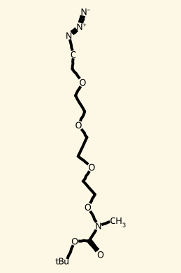 CN(OCCOCCOCCOCCN=[N+]=[N-])C(=O)OC(C)(C)C